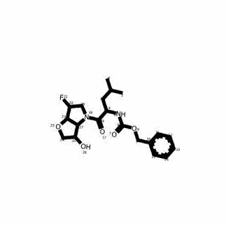 CC(C)CC(NC(=O)OCc1ccccc1)C(=O)N1CC(F)C2OCC(O)C21